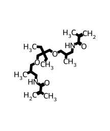 C=C(C)C(=O)NCC(C)COCC(CC)(CC)COCC(C)CNC(=O)C(=C)C